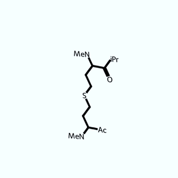 CNC(CCSCCC(NC)C(=O)C(C)C)C(C)=O